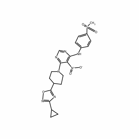 CS(=O)(=O)c1ccc(Nc2ncnc(N3CCC(c4nc(C5CC5)no4)CC3)c2[N+](=O)[O-])cc1